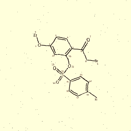 CCOc1ccc(C(=O)CBr)c(OS(=O)(=O)c2ccc(C)cc2)c1